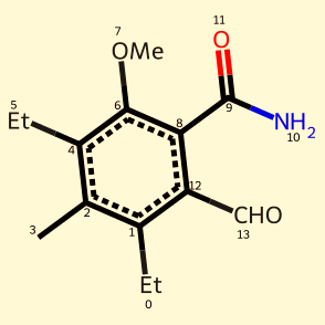 CCc1c(C)c(CC)c(OC)c(C(N)=O)c1C=O